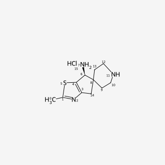 Cc1nc2c(s1)[C@@H](N)C1(CCNCC1)C2.Cl